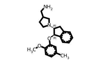 COc1ccc(C)cc1O[C@@H]1c2ccccc2C[C@H]1N1CCC(CN)C1